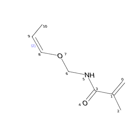 C=C(C)C(=O)NCO/C=C\C